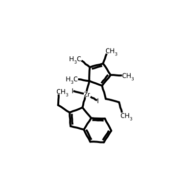 CCCC1=C(C)C(C)=C(C)[C]1(C)[Zr]([I])([I])[CH]1C(CC)=Cc2ccccc21